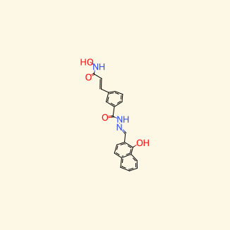 O=C(/C=C/c1cccc(C(=O)N/N=C/c2ccc3ccccc3c2O)c1)NO